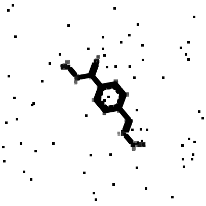 CCCCCCN=Cc1ccc(C(=O)OC(C)(C)C)cc1